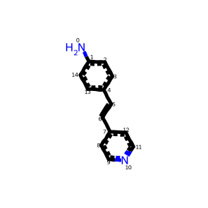 Nc1ccc(C=Cc2ccncc2)cc1